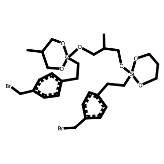 CC(CO[Si]1(CCc2ccc(CBr)cc2)OCCCO1)CO[Si]1(CCc2ccc(CBr)cc2)OCC(C)CO1